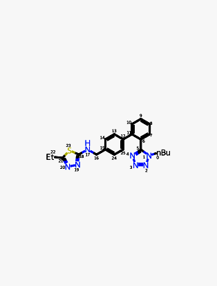 CCCCn1nnnc1-c1ccccc1-c1ccc(CNc2nnc(CC)s2)cc1